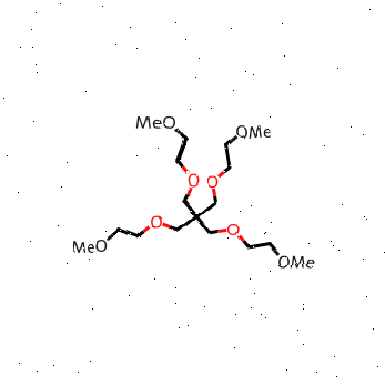 COCCOCC(COCCOC)(COCCOC)COCCOC